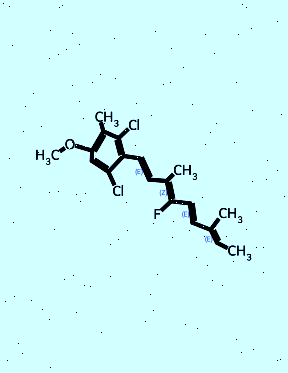 C/C=C(C)/C=C/C(F)=C(C)/C=C/c1c(Cl)cc(OC)c(C)c1Cl